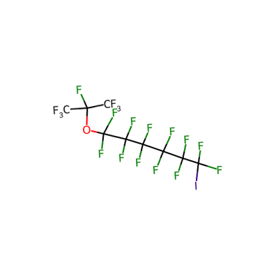 FC(F)(F)C(F)(OC(F)(F)C(F)(F)C(F)(F)C(F)(F)C(F)(F)C(F)(F)I)C(F)(F)F